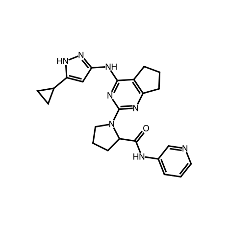 O=C(Nc1cccnc1)C1CCCN1c1nc2c(c(Nc3cc(C4CC4)[nH]n3)n1)CCC2